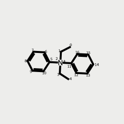 CC[N+](CC)(c1ccccc1)c1ccccc1